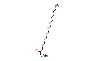 CNC(=O)CCCCCCCCCCCCCCCC(C)C